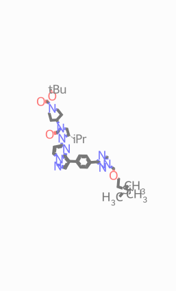 CC(C)[C@H]1CN(C2CCN(C(=O)OC(C)(C)C)CC2)C(=O)N1c1ccn2ncc(-c3ccc(-c4ncn(COCC[Si](C)(C)C)n4)cc3)c2n1